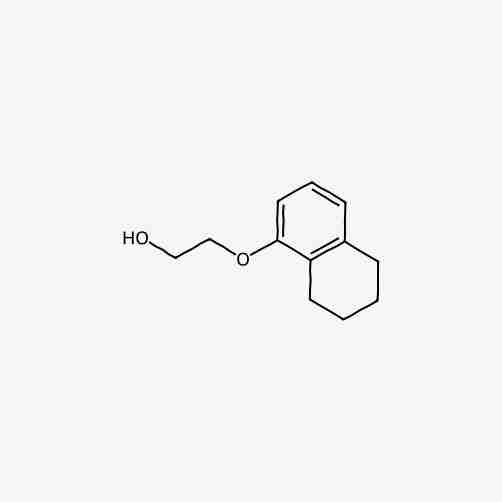 OCCOc1cccc2c1CCCC2